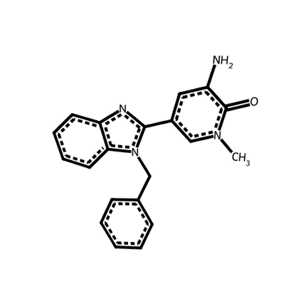 Cn1cc(-c2nc3ccccc3n2Cc2ccccc2)cc(N)c1=O